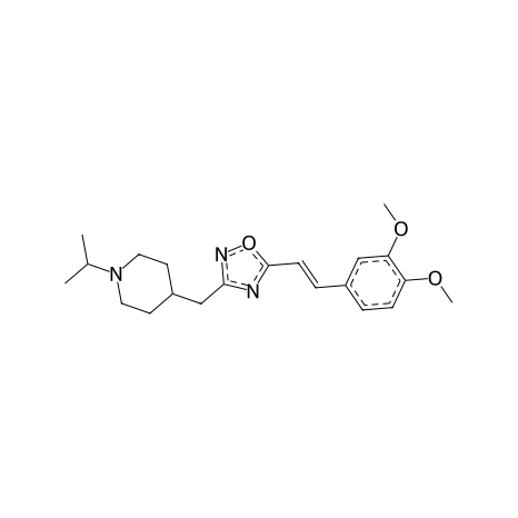 COc1ccc(C=Cc2nc(CC3CCN(C(C)C)CC3)no2)cc1OC